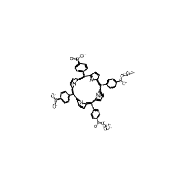 [Cu+2].[Cu+2].[Cu+2].[Cu+2].[O-]B([O-])c1ccc(-c2c3nc(c(-c4ccc(B([O-])[O-])cc4)c4ccc([nH]4)c(-c4ccc(B([O-])[O-])cc4)c4nc(c(-c5ccc(B([O-])[O-])cc5)c5ccc2[nH]5)C=C4)C=C3)cc1